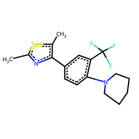 Cc1nc(-c2ccc(N3CCCCC3)c(C(F)(F)F)c2)c(C)s1